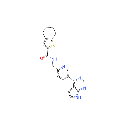 O=C(NCc1ccc(-c2ncnc3[nH]ccc23)cn1)c1cc2c(s1)CCCC2